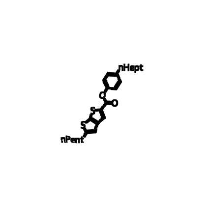 CCCCCCCc1ccc(OC(=O)c2cc3cc(CCCCC)sc3s2)cc1